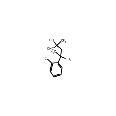 CC(C)(CC(O)(C=O)C(F)(F)F)c1ccccc1Cl